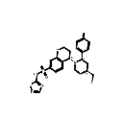 O=S(=O)(Nc1ncns1)c1ccc2c(c1)OCC[C@@H]2N1CC[C@H](CF)C[C@@H]1c1ccc(F)cc1